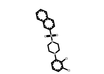 O=S(=O)(c1ccc2ccccc2c1)N1CCN(c2cccc(Cl)c2Cl)CC1